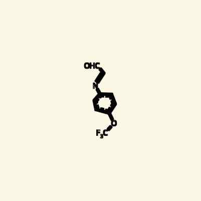 O=CC=Nc1ccc(OC(F)(F)F)cc1